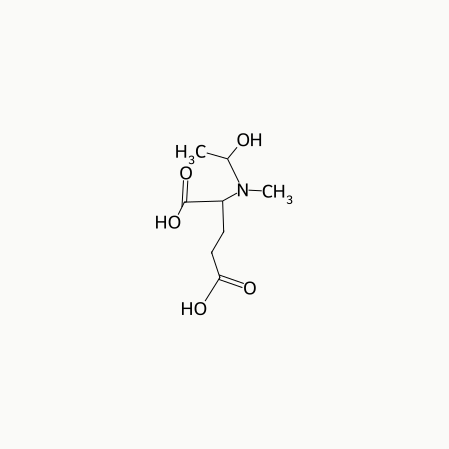 CC(O)N(C)C(CCC(=O)O)C(=O)O